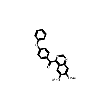 COc1cc2ncnc(C(=O)c3ccc(Oc4ccccc4)cc3)c2cc1OC